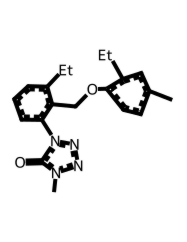 CCc1cc(C)ccc1OCc1c(CC)cccc1-n1nnn(C)c1=O